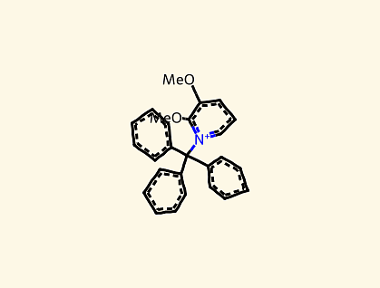 COc1ccc[n+](C(c2ccccc2)(c2ccccc2)c2ccccc2)c1OC